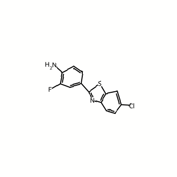 Nc1ccc(-c2nc3ccc(Cl)cc3s2)cc1F